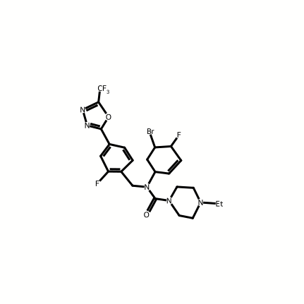 CCN1CCN(C(=O)N(Cc2ccc(-c3nnc(C(F)(F)F)o3)cc2F)C2C=CC(F)C(Br)C2)CC1